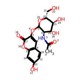 CC(=O)N[C@H]1C(Oc2cc3ccc(O)cc3oc2=O)O[C@H](CO)[C@@H](O)[C@@H]1O